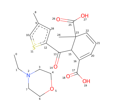 CCN1CCOCC1.Cc1csc(C(=O)C2C(C(=O)O)=CC=CC2(C)C(=O)O)c1